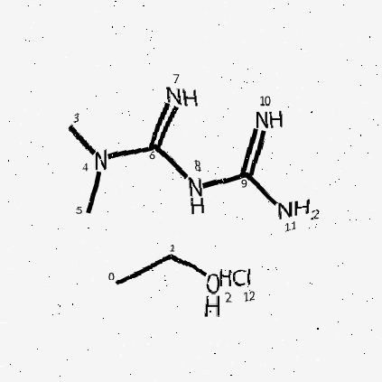 CCO.CN(C)C(=N)NC(=N)N.Cl